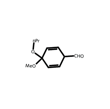 CCCOC1(OC)C=CC(C=O)C=C1